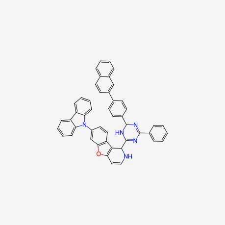 C1=Cc2oc3cc(-n4c5ccccc5c5ccccc54)ccc3c2C(C2=NC(c3ccccc3)=NC(c3ccc(-c4ccc5ccccc5c4)cc3)N2)N1